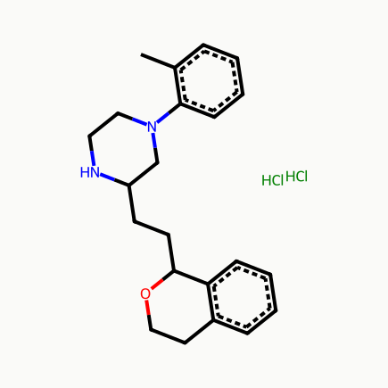 Cc1ccccc1N1CCNC(CCC2OCCc3ccccc32)C1.Cl.Cl